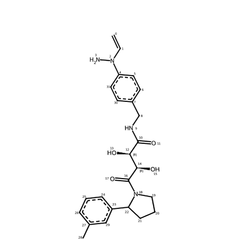 C=CN(N)c1ccc(CNC(=O)[C@H](O)[C@@H](O)C(=O)N2CCCC2c2cccc(C)c2)cc1